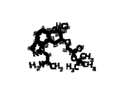 CC(N)Cn1ncc2ccc3c(c21)CC(OCC(=O)OC(C)(C)C)CO3.Cl.Cl